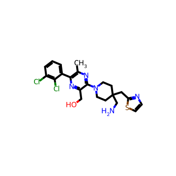 Cc1nc(N2CCC(CN)(Cc3nccs3)CC2)c(CO)nc1-c1cccc(Cl)c1Cl